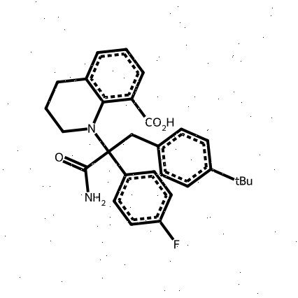 CC(C)(C)c1ccc(CC(C(N)=O)(c2ccc(F)cc2)N2CCCc3cccc(C(=O)O)c32)cc1